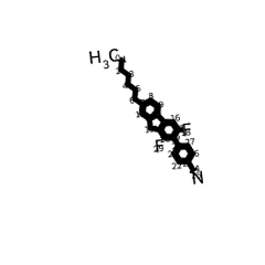 CCCCCCCc1ccc2c(c1)Cc1c-2cc(F)c(-c2ccc(C#N)cc2)c1F